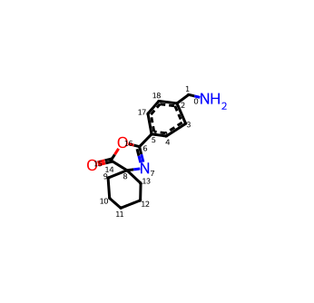 NCc1ccc(C2=NC3(CCCCC3)C(=O)O2)cc1